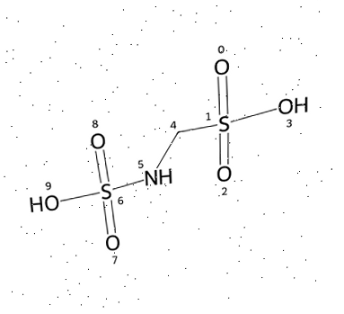 O=S(=O)(O)CNS(=O)(=O)O